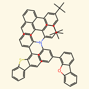 CC1C=C(N(c2cccc(-c3cccc4c3oc3ccccc34)c2)c2ccccc2-c2cccc3c2sc2ccccc23)C(c2cccc3cccc(-c4cc(C(C)(C)C)cc(C(C)(C)C)c4)c23)=CC1